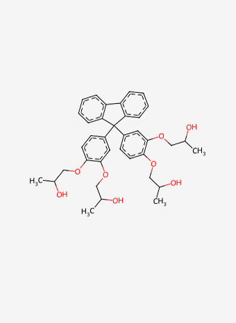 CC(O)COc1ccc(C2(c3ccc(OCC(C)O)c(OCC(C)O)c3)c3ccccc3-c3ccccc32)cc1OCC(C)O